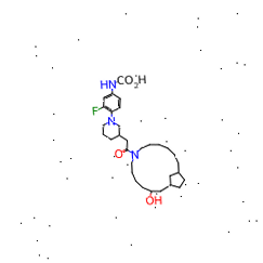 O=C(O)Nc1ccc(N2CCCC(CC(=O)N3CCCCCCC4CCC(CC(O)CCCC3)C4)C2)c(F)c1